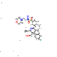 CC(C)c1nc2c(c(-c3ccc(F)cc3)c1CO)CCCc1ccc(S(=O)(=O)NCCN3CCOCC3)cc1-2